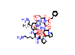 CC[C@H](C)[C@H](NC(=O)[C@H](C)N(C(=O)OCc1ccccc1)C(=O)[C@H](CO)NC(=O)[C@@H](N)CC(C)C)C(=O)N1CCC[C@H]1C(=O)N1CCC[C@H]1C(=O)N[C@@H](CCCCN)C(=O)N[C@@H](CCCCN)C(=O)O